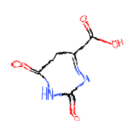 O=C1CC(C(=O)O)=NC(=O)N1